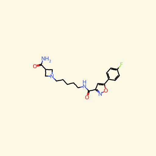 NC(=O)C1CN(CCCCCNC(=O)c2cc(-c3ccc(F)cc3)on2)C1